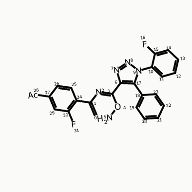 C=C(/N=C(\ON)c1nnn(-c2ccccc2F)c1-c1ccccc1)c1ccc(C(C)=O)cc1F